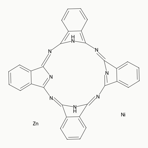 [Ni].[Zn].c1ccc2c(c1)-c1nc-2nc2[nH]c(nc3nc(nc4[nH]c(n1)c1ccccc41)-c1ccccc1-3)c1ccccc21